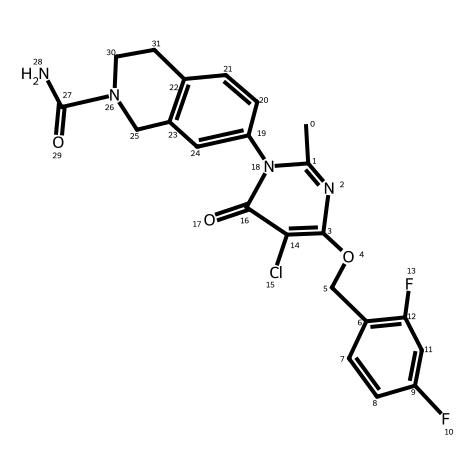 Cc1nc(OCc2ccc(F)cc2F)c(Cl)c(=O)n1-c1ccc2c(c1)CN(C(N)=O)CC2